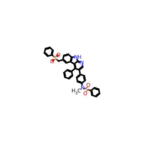 CN(c1ccc(-c2cnc3[nH]c4ccc(CS(=O)(=O)c5ccccc5)cc4c3c2-c2ccccc2)cc1)S(=O)(=O)c1ccccc1